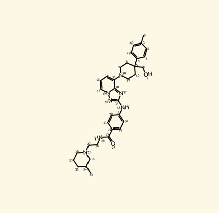 Cc1ccc(C2(CO)CCN(c3cccn4nc(Nc5ccc(C(=O)NCCN6CCCC(C)C6)cc5)nc34)CC2)cc1